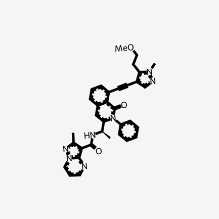 COCCc1c(C#Cc2cccc3cc([C@@H](C)NC(=O)c4c(C)nn5cccnc45)n(-c4ccccc4)c(=O)c23)cnn1C